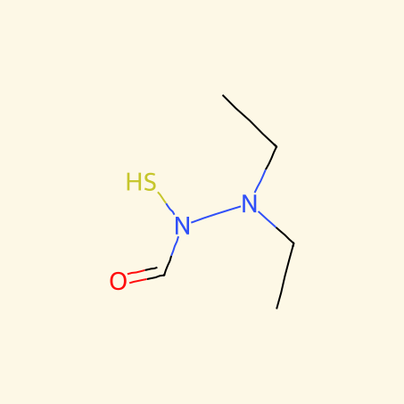 CCN(CC)N(S)C=O